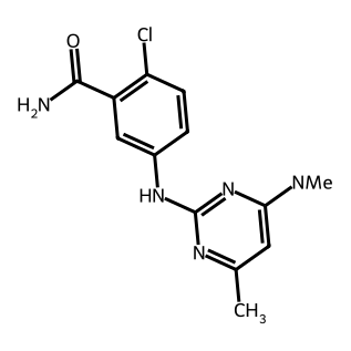 CNc1cc(C)nc(Nc2ccc(Cl)c(C(N)=O)c2)n1